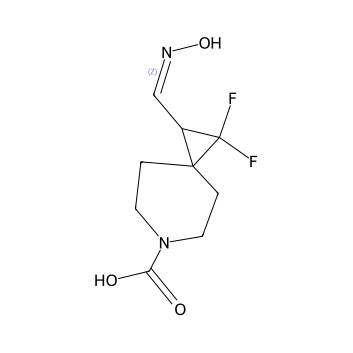 O=C(O)N1CCC2(CC1)C(/C=N\O)C2(F)F